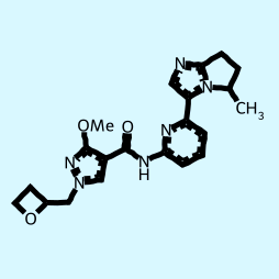 COc1nn(CC2CCO2)cc1C(=O)Nc1cccc(-c2cnc3n2C(C)CC3)n1